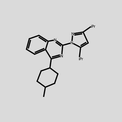 CC1CC[C](c2nc(-n3nc(C(C)C)cc3C(C)C)nc3ccccc23)CC1